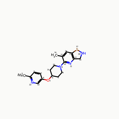 COc1ccc(OC2CCN(c3nc4c(cc3C)SNC4)CC2)cn1